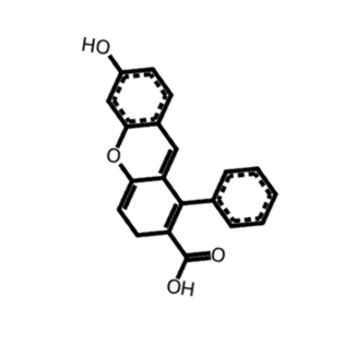 O=C(O)C1=C(c2ccccc2)C2=Cc3ccc(O)cc3OC2=CC1